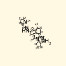 C=C(SCC(=O)N/N=C/c1cccn1C)N(/C(=N\N)c1ccc(C)cc1)C1CCCC1